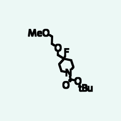 COCCOCC1(F)CCN(C(=O)OC(C)(C)C)CC1